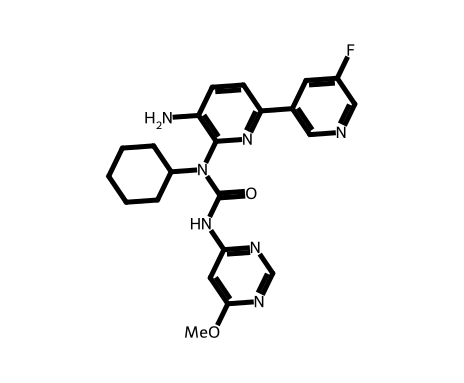 COc1cc(NC(=O)N(c2nc(-c3cncc(F)c3)ccc2N)C2CCCCC2)ncn1